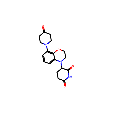 O=C1CCN(c2cccc3c2OCCN3C2CCC(=O)NC2=O)CC1